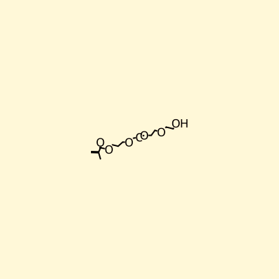 C=C(C)C(=O)OCCCOCCOCCOCCO